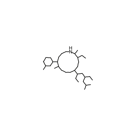 CCC(CC(C)C)CC(CC)C1CCCC(C)C(C2CCCC(C)C2)CCCNC(C)C(CC)CC1